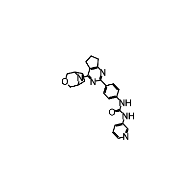 O=C(Nc1ccc(-c2nc3c(c(N4C5CCC4COC5)n2)CCC3)cc1)Nc1cccnc1